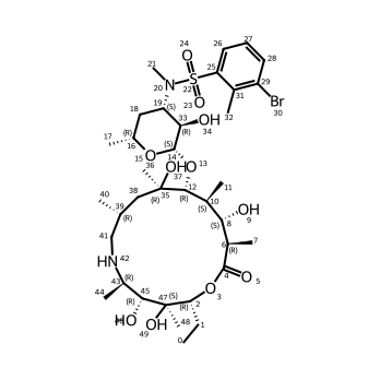 CC[C@H]1OC(=O)[C@H](C)[C@@H](O)[C@H](C)[C@@H](O[C@@H]2O[C@H](C)C[C@H](N(C)S(=O)(=O)c3cccc(Br)c3C)[C@H]2O)[C@](C)(O)C[C@@H](C)CN[C@H](C)[C@@H](O)[C@]1(C)O